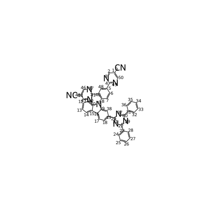 N#Cc1cnc(-c2ccc(-n3c4ccccc4c4ccc(-c5nc(-c6ccccc6)nc(-c6ccccc6)n5)cc43)c(-c3ncc(C#N)cn3)c2)nc1